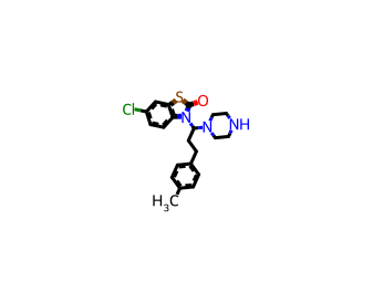 Cc1ccc(CCC(N2CCNCC2)n2c(=O)sc3cc(Cl)ccc32)cc1